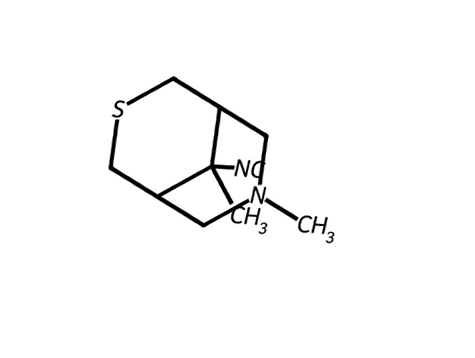 [C-]#[N+]C1(C)C2CSCC1CN(C)C2